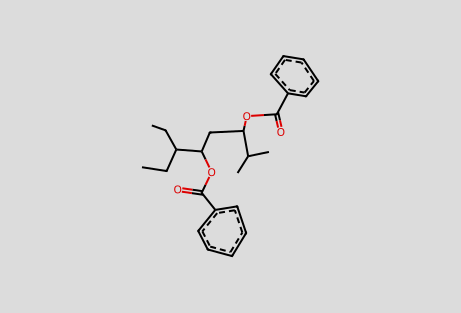 CCC(CC)C(CC(OC(=O)c1ccccc1)C(C)C)OC(=O)c1ccccc1